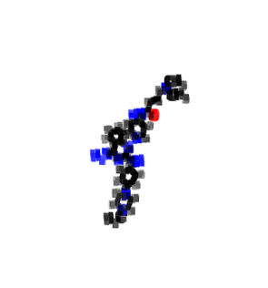 CN(C)C/C=C/C(=O)Nc1ccnc(-c2cccc3c(N)nc(Nc4ccc(N5CCN(C)CC5)cc4)nc23)c1